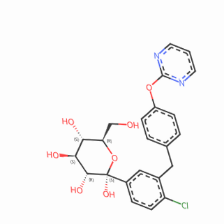 OC[C@H]1O[C@@](O)(c2ccc(Cl)c(Cc3ccc(Oc4ncccn4)cc3)c2)[C@H](O)[C@@H](O)[C@@H]1O